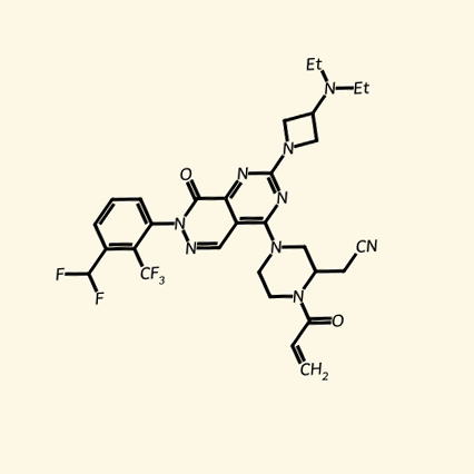 C=CC(=O)N1CCN(c2nc(N3CC(N(CC)CC)C3)nc3c(=O)n(-c4cccc(C(F)F)c4C(F)(F)F)ncc23)CC1CC#N